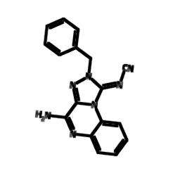 N#CN=c1n(Cc2ccccc2)nc2c(N)nc3ccccc3n12